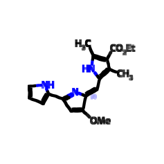 CCOC(=O)c1c(C)[nH]c(/C=C2\N=C(c3ccc[nH]3)C=C2OC)c1C